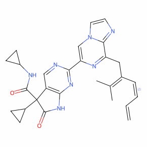 C=C/C=C\C(Cc1nc(-c2ncc3c(n2)NC(=O)C3(C(=O)NC2CC2)C2CC2)cn2ccnc12)=C(C)C